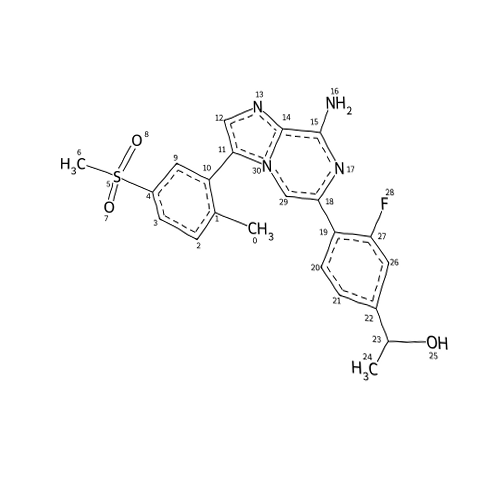 Cc1ccc(S(C)(=O)=O)cc1-c1cnc2c(N)nc(-c3ccc(C(C)O)cc3F)cn12